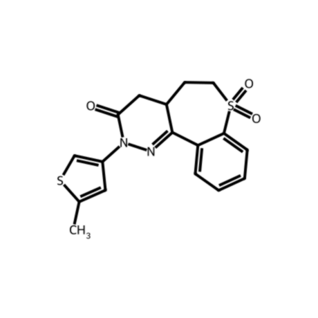 Cc1cc(N2N=C3c4ccccc4S(=O)(=O)CCC3CC2=O)cs1